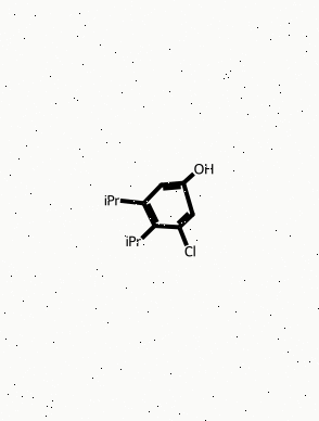 CC(C)c1cc(O)cc(Cl)c1C(C)C